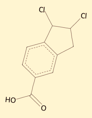 O=C(O)c1ccc2c(c1)CC(Cl)C2Cl